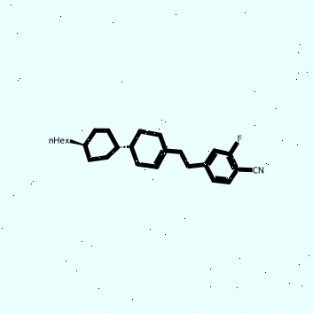 CCCCCC[C@H]1CC[C@H](C2CC=C(CCc3ccc(C#N)c(F)c3)CC2)CC1